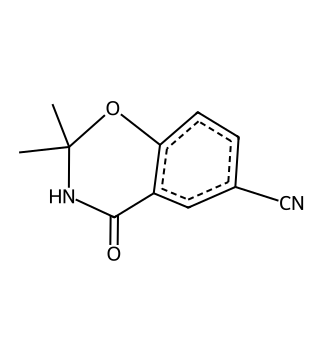 CC1(C)NC(=O)c2cc(C#N)ccc2O1